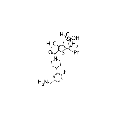 Cc1c(C(=O)N2CCC(c3cc(CN)ccc3F)CC2)sc(OC(C)C)c1C[Si](C)(C)O